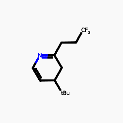 CC(C)(C)C1C=CN=C(CCC(F)(F)F)C1